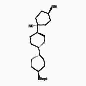 CCCCCCC[C@H]1CC[C@H]([C@H]2CC[C@H]([C@]3(C#N)CC[C@H](CCCC)CC3)CC2)CC1